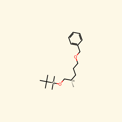 C[C@@H](CCCOCc1ccccc1)CO[Si](C)(C)C(C)(C)C